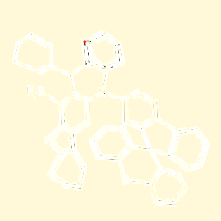 Cc1c(C(C2=CCCC=C2)c2ccccc2)c(N(c2ccccc2)c2ccc3c(c2)C2(c4ccccc4Oc4ccccc42)c2ccccc2-3)cc2c1sc1ccccc12